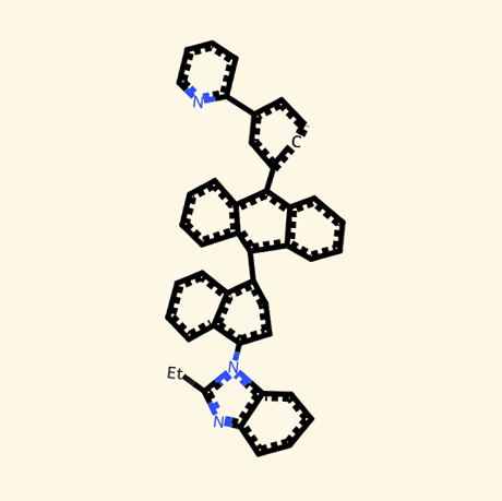 CCc1nc2ccccc2n1-c1ccc(-c2c3ccccc3c(-c3cccc(-c4ccccn4)c3)c3ccccc23)c2ccccc12